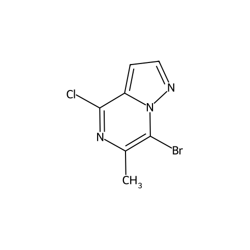 Cc1nc(Cl)c2ccnn2c1Br